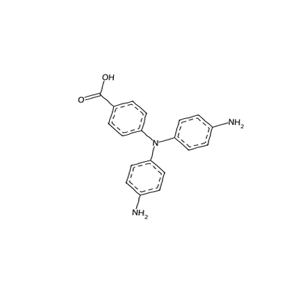 Nc1ccc(N(c2ccc(N)cc2)c2ccc(C(=O)O)cc2)cc1